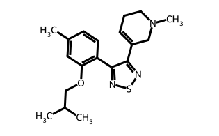 Cc1ccc(-c2nsnc2C2=CCCN(C)C2)c(OCC(C)C)c1